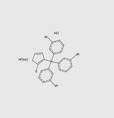 CC(C)c1cccc([Si](C2=[C]([Ti])CC=C2)(c2cccc(C(C)C)c2)c2cccc(C(C)C)c2)c1.Cl.Cl.Cl